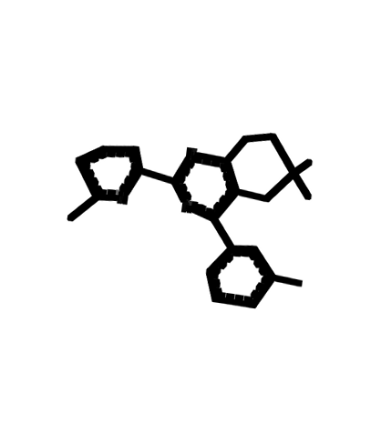 Cc1cccc(-c2nc(-c3cccc(C)n3)nc3c2CC(C)(C)CC3)c1